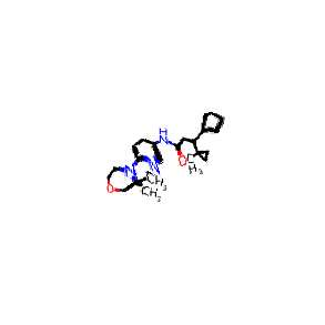 CC1(C(CC(=O)Nc2ccc(N3CCOCC3(C)C)nc2)C2CCC2)CC1